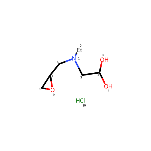 CCN(CC(O)O)CC1CO1.Cl